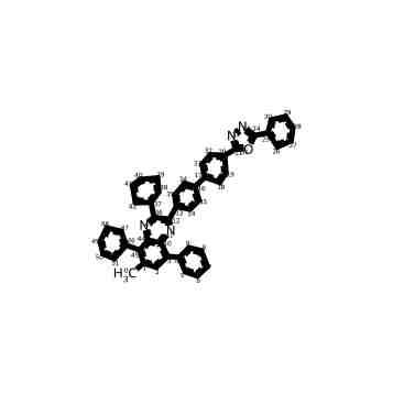 Cc1cc(-c2ccccc2)c2nc(-c3ccc(-c4ccc(-c5nnc(-c6ccccc6)o5)cc4)cc3)c(-c3ccccc3)nc2c1-c1ccccc1